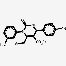 CCOC(=O)C1=C(CBr)N(c2cccc(C(F)(F)F)c2)C(=O)NC1c1ccc(C#N)cc1